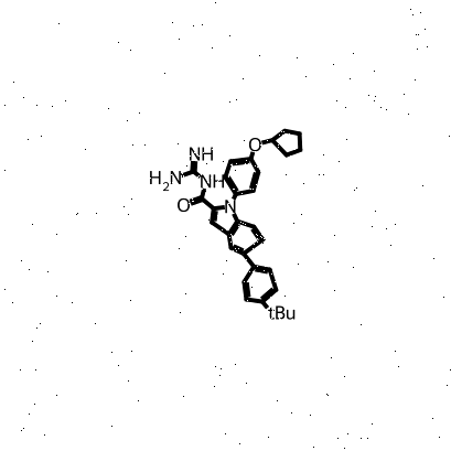 CC(C)(C)c1ccc(-c2ccc3c(c2)cc(C(=O)NC(=N)N)n3-c2ccc(OC3CCCC3)cc2)cc1